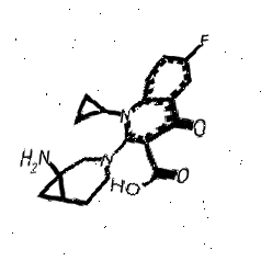 NC12CC1CCN(c1c(C(=O)O)c(=O)c3cc(F)ccc3n1C1CC1)C2